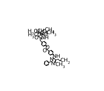 C=CCc1c(C)nc(-c2ccccc2)nc1Nc1ccc(C(=O)Oc2ccc(C[C@H](NC(=O)OC(C)(C)C)C(=O)OC(C)(C)C)cc2)cc1